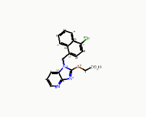 O=C(O)CSc1nc2ncccc2n1Cc1ccc(Br)c2ccccc12